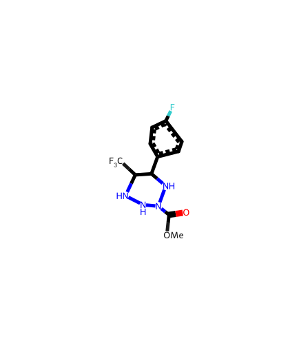 COC(=O)N1NNC(C(F)(F)F)C(c2ccc(F)cc2)N1